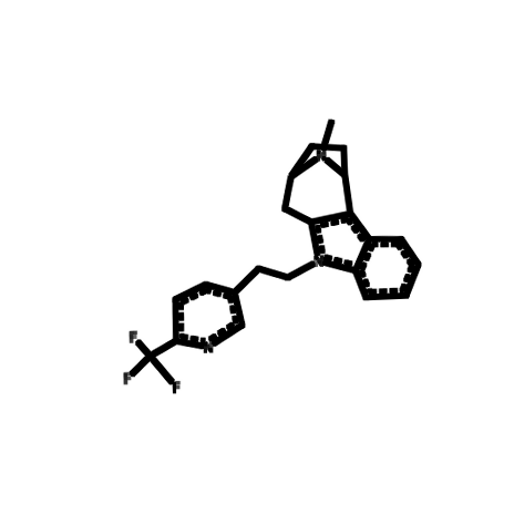 CN1C2CCC1c1c(n(CCc3ccc(C(F)(F)F)nc3)c3ccccc13)C2